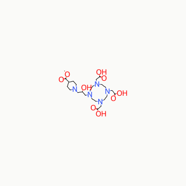 COC(=O)C1CCN(CC(O)CN2CCN(CC(=O)O)CCN(CC(=O)O)CCN(CC(=O)O)CC2)CC1